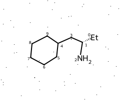 CC[C@H](N)[CH]C1CCCCC1